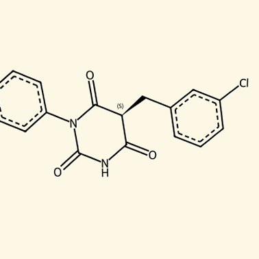 O=C1NC(=O)N(c2ccccc2)C(=O)[C@H]1Cc1cccc(Cl)c1